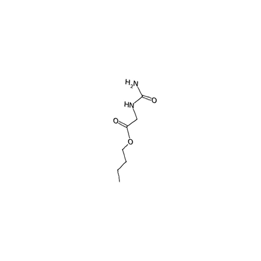 CCCCOC(=O)CNC(N)=O